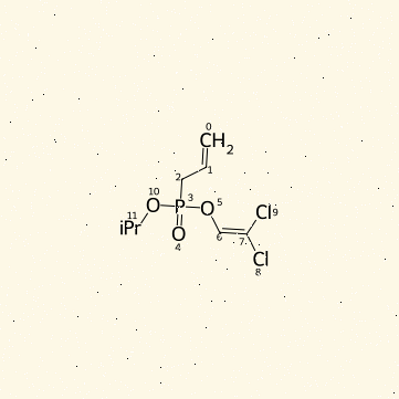 C=CCP(=O)(OC=C(Cl)Cl)OC(C)C